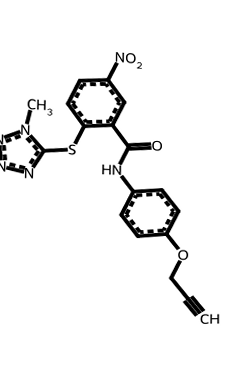 C#CCOc1ccc(NC(=O)c2cc([N+](=O)[O-])ccc2Sc2nnnn2C)cc1